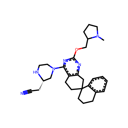 CN1CCCC1COc1nc2c(c(N3CCN[C@@H](CC#N)C3)n1)CCC1(CCCc3ccccc31)C2